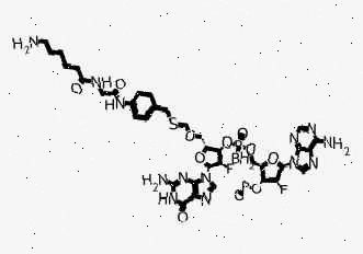 BP(=O)(OC[C@H]1O[C@@H](n2cnc3c(N)ncnc32)[C@H](F)[C@@H]1OP=O)O[C@H]1[C@@H](F)[C@H](n2cnc3c(=O)[nH]c(N)nc32)O[C@@H]1COCSCc1ccc(NC(=O)CNC(=O)CCCCCN)cc1